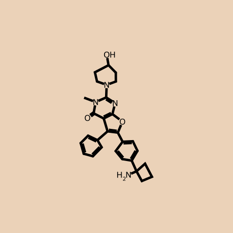 Cn1c(N2CCC(O)CC2)nc2oc(-c3ccc(C4(N)CCC4)cc3)c(-c3ccccc3)c2c1=O